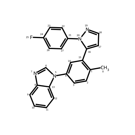 Cc1ccc(-n2cnc3ccccc32)cc1-c1ccnn1-c1ccc(F)cc1